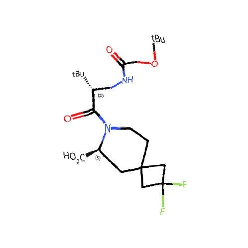 CC(C)(C)OC(=O)N[C@H](C(=O)N1CCC2(C[C@H]1C(=O)O)CC(F)(F)C2)C(C)(C)C